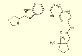 Cc1ncc(NC(=O)CN2CCCC2(C)C)cc1NC(=O)c1cnc2[nH]c(C3=CCOC3)cc2c1